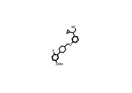 COc1ccc(F)c(C2CCC(COc3cccc(C(CC#N)C4CC4)c3)CC2)c1